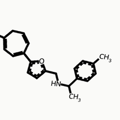 Cc1ccc(C(C)NCc2ccc(C3=CC=C(Cl)CC=C3)o2)cc1